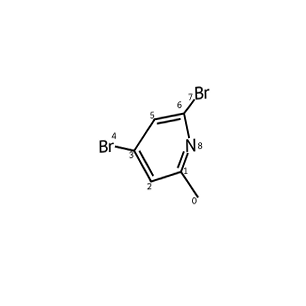 Cc1cc(Br)cc(Br)n1